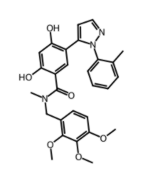 COc1ccc(CN(C)C(=O)c2cc(-c3ccnn3-c3ccccc3C)c(O)cc2O)c(OC)c1OC